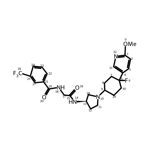 COc1ccc(C2(F)CCC(N3CC[C@@H](NC(=O)CNC(=O)c4cccc(C(F)(F)F)c4)C3)CC2)cn1